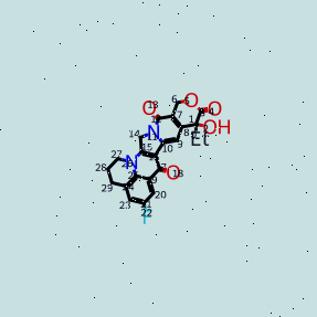 CCC1(O)C(=O)OCc2c1cc1n(c2=O)Cc2c-1c(=O)c1cc(F)cc3c1n2CCC3